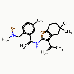 C=C(Nc1sc2c(c1C(=C)C)CC(C)(C)CC2)c1cc(C(F)(F)F)ccc1CN(C)S